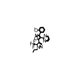 CCCN1N=C=C(c2onc(-c3ccccc3OC)c2-c2nc#ccn2)C1C(F)(F)F